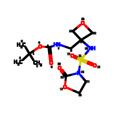 CC(C)(C)OC(=O)NCC1(NS(=O)(=O)N2CCOC2=O)COC1